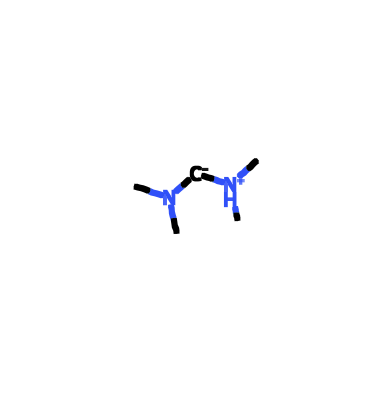 CN(C)[CH-][NH+](C)C